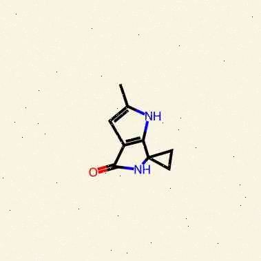 Cc1cc2c([nH]1)C1(CC1)NC2=O